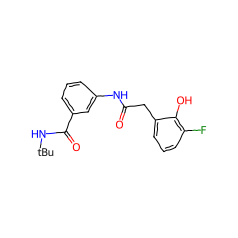 CC(C)(C)NC(=O)c1cccc(NC(=O)Cc2cccc(F)c2O)c1